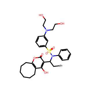 CC(C)CC(c1c(O)c2c(oc1=O)CCCCCC2)N(c1ccccc1)S(=O)(=O)c1cccc(N(CCO)CCO)c1